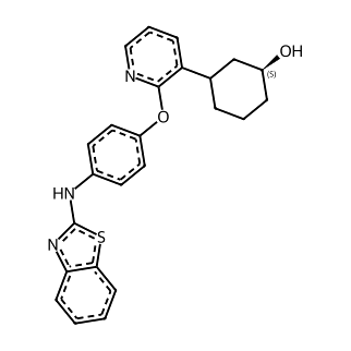 O[C@H]1CCCC(c2cccnc2Oc2ccc(Nc3nc4ccccc4s3)cc2)C1